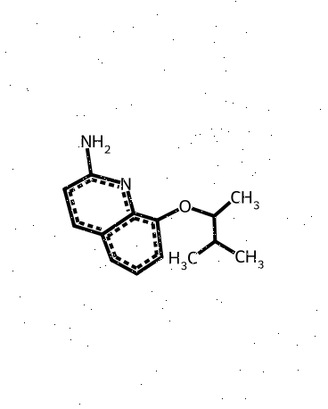 CC(C)C(C)Oc1cccc2ccc(N)nc12